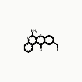 Nc1nc2ccccc2c2c(=O)c3cc(CI)ccc3sc12